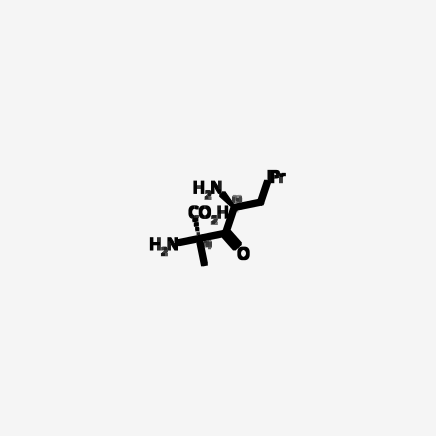 CC(C)C[C@H](N)C(=O)[C@@](C)(N)C(=O)O